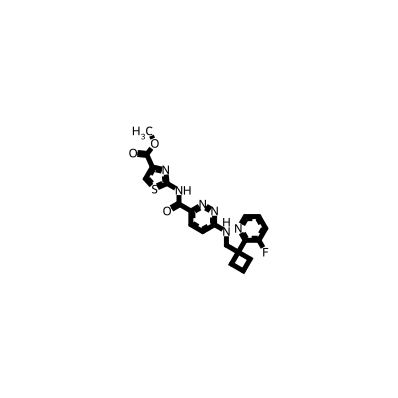 COC(=O)c1csc(NC(=O)c2ccc(NCC3(c4ncccc4F)CCC3)nn2)n1